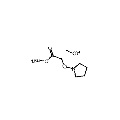 CC(C)(C)OC(=O)CON1CCCC1.CO